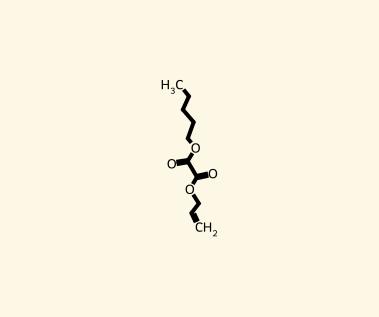 C=CCOC(=O)C(=O)OCCCCC